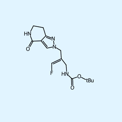 CC(C)(C)OC(=O)NCC(=CF)Cn1cc2c(n1)CCNC2=O